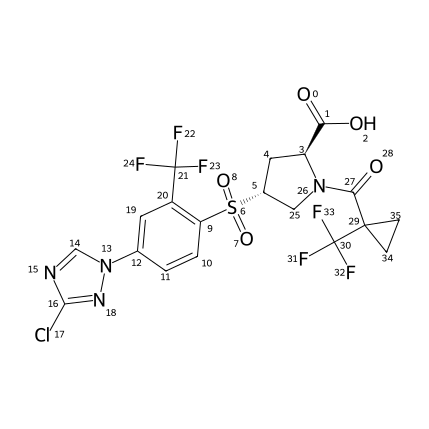 O=C(O)[C@@H]1C[C@@H](S(=O)(=O)c2ccc(-n3cnc(Cl)n3)cc2C(F)(F)F)CN1C(=O)C1(C(F)(F)F)CC1